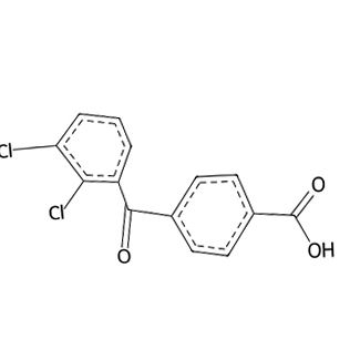 O=C(O)c1ccc(C(=O)c2cccc(Cl)c2Cl)cc1